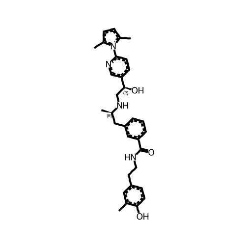 Cc1cc(CCNC(=O)c2cccc(C[C@@H](C)NC[C@H](O)c3ccc(-n4c(C)ccc4C)nc3)c2)ccc1O